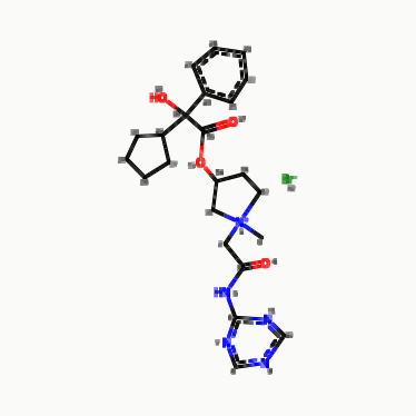 C[N+]1(CC(=O)Nc2ncncn2)CCC(OC(=O)C(O)(c2ccccc2)C2CCCC2)C1.[Br-]